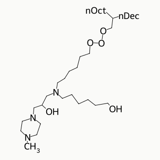 CCCCCCCCCCC(CCCCCCCC)COOOCCCCCCN(CCCCCCO)CC(O)CN1CCN(C)CC1